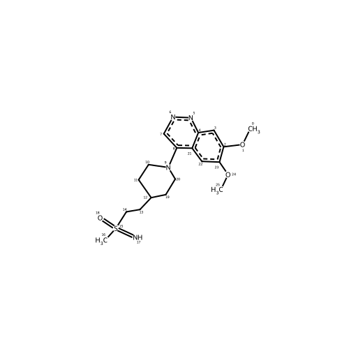 COc1cc2nncc(N3CCC(CCS(C)(=N)=O)CC3)c2cc1OC